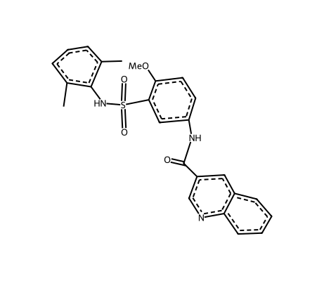 COc1ccc(NC(=O)c2cnc3ccccc3c2)cc1S(=O)(=O)Nc1c(C)cccc1C